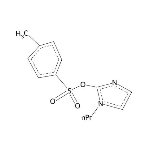 CCCn1ccnc1OS(=O)(=O)c1ccc(C)cc1